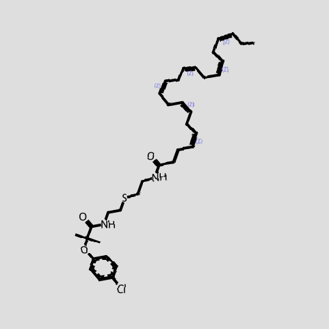 CC/C=C\C/C=C\C/C=C\C/C=C\C/C=C\C/C=C\CCC(=O)NCCSCCNC(=O)C(C)(C)Oc1ccc(Cl)cc1